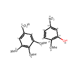 COc1cc(C(=O)O)cc(OC)c1OC.COc1ccc([N+](=O)[O-])cc1O